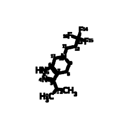 CC(C)c1n[nH]c2c1CCN(CCC(F)(F)F)C2